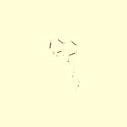 [O]CCCOc1cccc2cccnc12